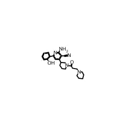 N#Cc1c(C2CCCN(C(=O)CCN3CCCCC3)C2)cc(-c2ccccc2O)nc1N